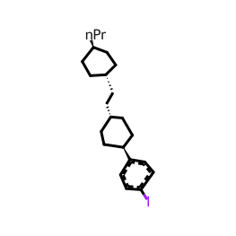 CCC[C@H]1CC[C@H](CC[C@H]2CC[C@H](c3ccc(I)cc3)CC2)CC1